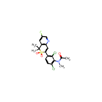 CC(=O)N(C)c1c(Cl)ccc(C2=[C]c3ncc(F)cc3C(C)(C)S2(=O)=O)c1Cl